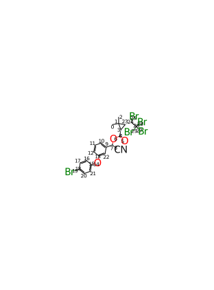 CC1(C)[C@H](C(=O)OC(C#N)c2cccc(Oc3ccc(Br)cc3)c2)[C@H]1C(Br)C(Br)(Br)Br